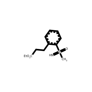 CCOC(=O)CCc1ccccc1S(C)(=N)=O